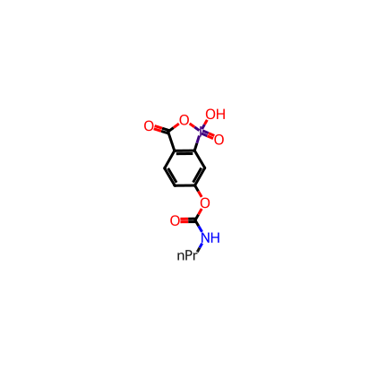 CCCNC(=O)Oc1ccc2c(c1)I(=O)(O)OC2=O